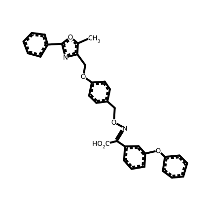 Cc1oc(-c2ccccc2)nc1COc1ccc(CO/N=C(\C(=O)O)c2cccc(Oc3ccccc3)c2)cc1